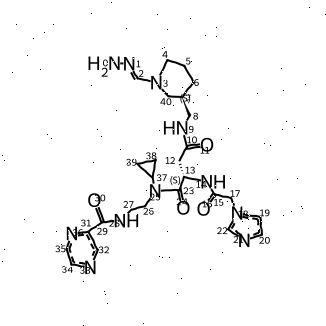 NN=CN1CCC[C@@H](CNC(=O)C[C@H](NC(=O)Cn2ccnc2)C(=O)N(CCNC(=O)c2cnccn2)C2CC2)C1